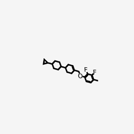 Cc1ccc(OCC2=CCC(C3CCC(C4CC4)CC3)CC2)c(F)c1F